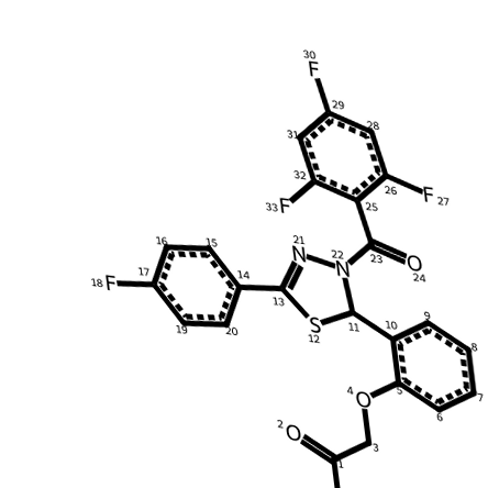 COC(=O)COc1ccccc1C1SC(c2ccc(F)cc2)=NN1C(=O)c1c(F)cc(F)cc1F